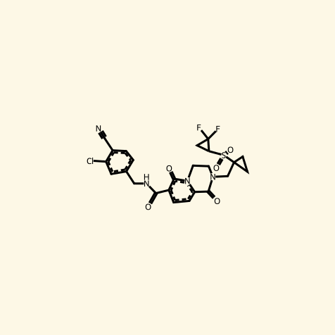 N#Cc1ccc(CNC(=O)c2ccc3n(c2=O)CCN(CC2(S(=O)(=O)C4CC4(F)F)CC2)C3=O)cc1Cl